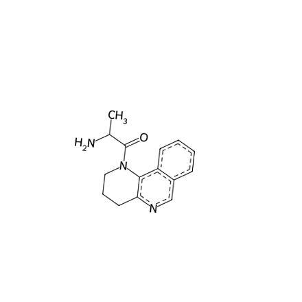 CC(N)C(=O)N1CCCc2ncc3ccccc3c21